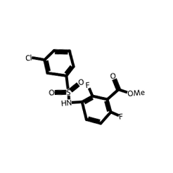 COC(=O)c1c(F)ccc(NS(=O)(=O)c2cccc(Cl)c2)c1F